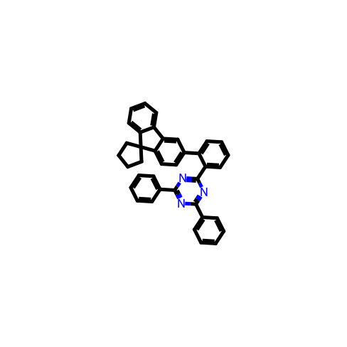 c1ccc(-c2nc(-c3ccccc3)nc(-c3ccccc3-c3ccc4c(c3)-c3ccccc3C43CCCC3)n2)cc1